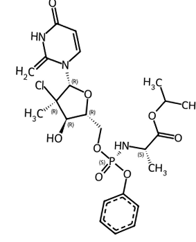 C=C1NC(=O)C=CN1[C@@H]1O[C@H](CO[P@@](=O)(N[C@@H](C)C(=O)OC(C)C)Oc2ccccc2)[C@@H](O)[C@@]1(C)Cl